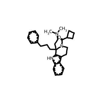 CN(C)CCC1(CCCc2ccccc2)c2[nH]c3ccccc3c2CCN1C(=O)C1CCC1